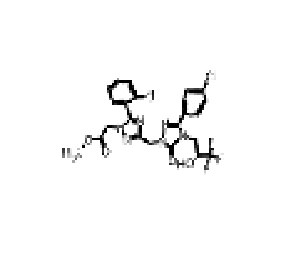 COC(=O)Cn1nc(Cn2nc(-c3ccc(Cl)cc3)n(C[C@H](O)C(F)(F)F)c2=O)nc1-c1ccccc1Cl